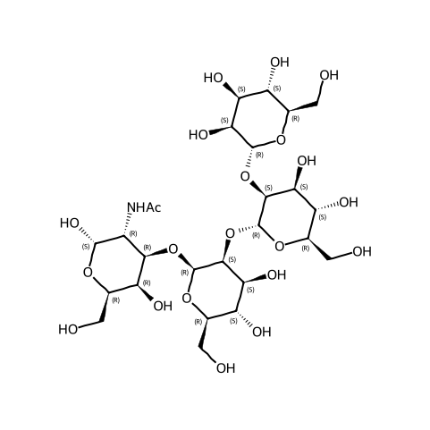 CC(=O)N[C@@H]1[C@@H](O[C@@H]2O[C@H](CO)[C@@H](O)[C@H](O)[C@@H]2O[C@H]2O[C@H](CO)[C@@H](O)[C@H](O)[C@@H]2O[C@H]2O[C@H](CO)[C@@H](O)[C@H](O)[C@@H]2O)[C@@H](O)[C@@H](CO)O[C@@H]1O